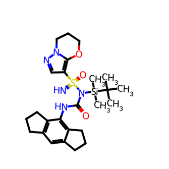 CC(C)(C)[Si](C)(C)N(C(=O)Nc1c2c(cc3c1CCC3)CCC2)S(=N)(=O)c1cnn2c1OCCC2